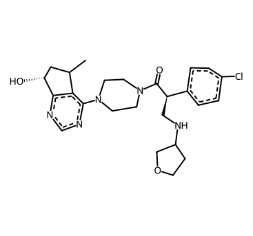 CC1C[C@@H](O)c2ncnc(N3CCN(C(=O)[C@H](CNC4CCOC4)c4ccc(Cl)cc4)CC3)c21